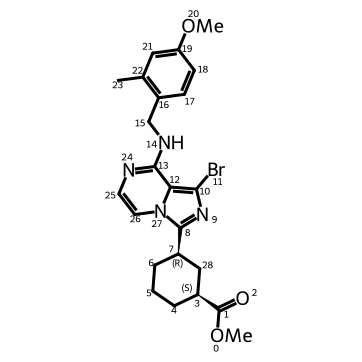 COC(=O)[C@H]1CCC[C@@H](c2nc(Br)c3c(NCc4ccc(OC)cc4C)nccn23)C1